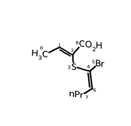 C/C=C(\S/C(Br)=C\CCC)C(=O)O